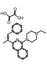 CCN1CCN(c2nc(/C(C)=C\c3ccccc3)cc3ccccc23)CC1.O=C(O)C(=O)O